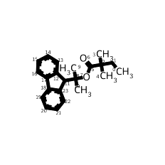 CCC(C)(C)C(=O)OC(C)(C)C1c2ccccc2-c2ccccc21